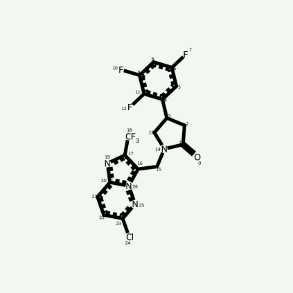 O=C1CC(c2cc(F)cc(F)c2F)CN1Cc1c(C(F)(F)F)nc2ccc(Cl)nn12